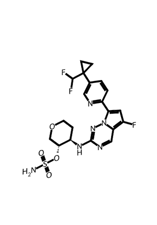 NS(=O)(=O)O[C@@H]1COCC[C@H]1Nc1ncc2c(F)cc(-c3ccc(C4(C(F)F)CC4)cn3)n2n1